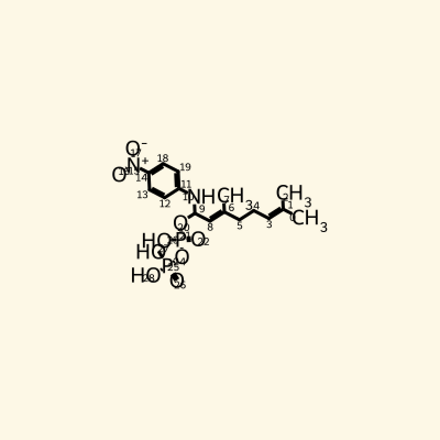 CC(C)=CCC/C(C)=C/C(Nc1ccc([N+](=O)[O-])cc1)OP(=O)(O)OP(=O)(O)O